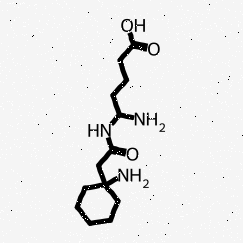 NC(CCCC(=O)O)NC(=O)CC1(N)CCCCC1